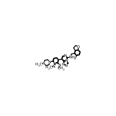 C=Nn1c(N2CCN(C)CC2)ccc(-c2cnc(NCc3c(F)ccc4c3CCO4)n3cnnc23)/c1=N/C